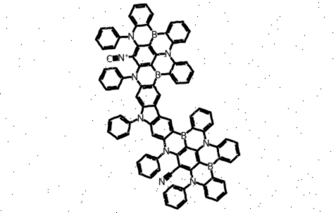 [C-]#[N+]c1c2c3c4c5c1N(c1ccccc1)c1cc6c(cc1B5c1ccccc1N4c1ccccc1B3c1ccccc1N2c1ccccc1)c1cc2c(cc1n6-c1ccccc1)N(c1ccccc1)c1c(C#N)c3c4c5c1B2c1ccccc1N5c1ccccc1B4c1ccccc1N3c1ccccc1